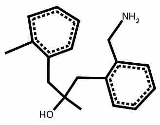 Cc1ccccc1CC(C)(O)Cc1ccccc1CN